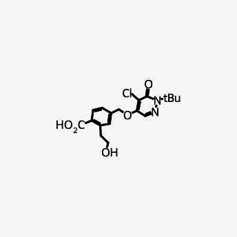 CC(C)(C)n1ncc(OCc2ccc(C(=O)O)c(CCO)c2)c(Cl)c1=O